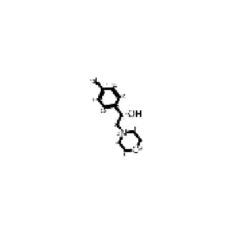 O[C@H](CN1CCOCC1)c1ccc(I)cc1